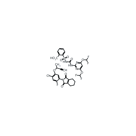 C#CC(C)Oc1cc(N2C(=O)C3=C(CCCC3)C2=O)c(F)cc1Cl.O=C(Nc1nc(OC(F)F)cc(OC(F)F)n1)NS(=O)(=O)c1ccccc1C(=O)O